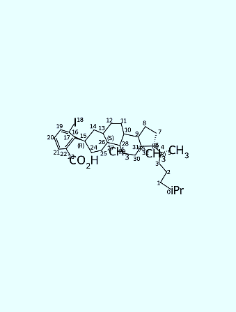 CC(C)CCC[C@@H](C)[C@H]1CCC2C3CCC4C[C@H](c5c(I)cccc5C(=O)O)CC[C@]4(C)C3CC[C@@]21C